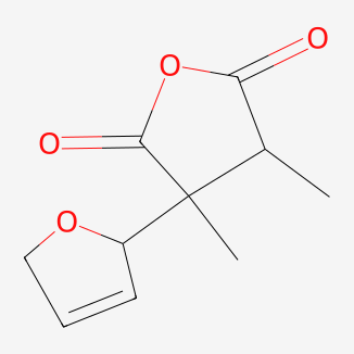 CC1C(=O)OC(=O)C1(C)C1C=CCO1